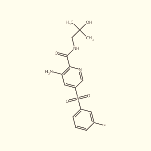 CC(C)(O)CNC(=O)c1ncc(S(=O)(=O)c2cccc(F)c2)cc1N